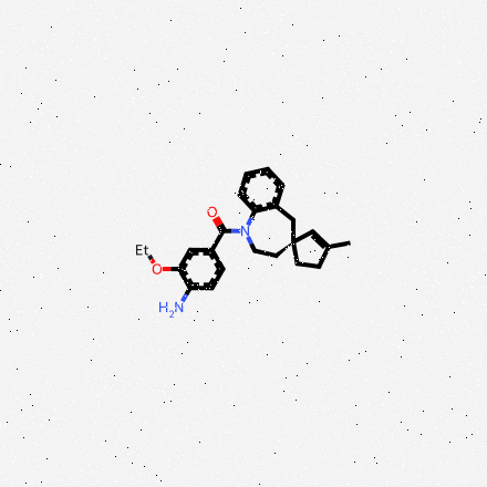 CCOc1cc(C(=O)N2CC[C@]3(C=C(C)CC3)Cc3ccccc32)ccc1N